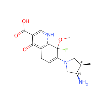 COC1(F)C(N2C[C@@H](C)[C@@H](N)C2)=CCc2c1[nH]cc(C(=O)O)c2=O